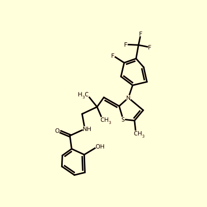 CC1=CN(c2ccc(C(F)(F)F)c(F)c2)C(=CC(C)(C)CNC(=O)c2ccccc2O)S1